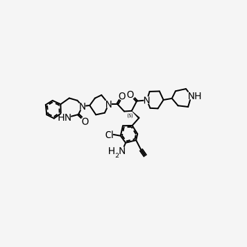 C#Cc1cc(C[C@@H](CC(=O)N2CCC(N3CCc4ccccc4NC3=O)CC2)C(=O)N2CCC(C3CCNCC3)CC2)cc(Cl)c1N